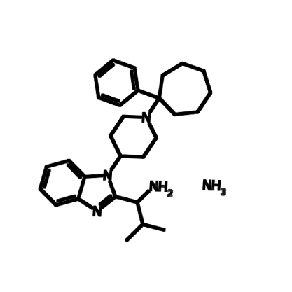 CC(C)C(N)c1nc2ccccc2n1C1CCN(C2(c3ccccc3)CCCCCC2)CC1.N